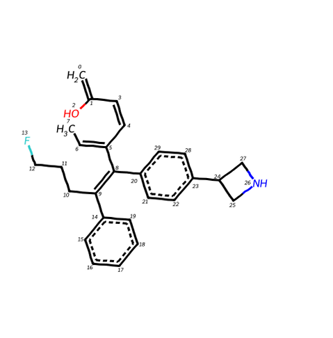 C=C(O)\C=C/C(=C\C)C(=C(\CCCF)c1ccccc1)/c1ccc(C2CNC2)cc1